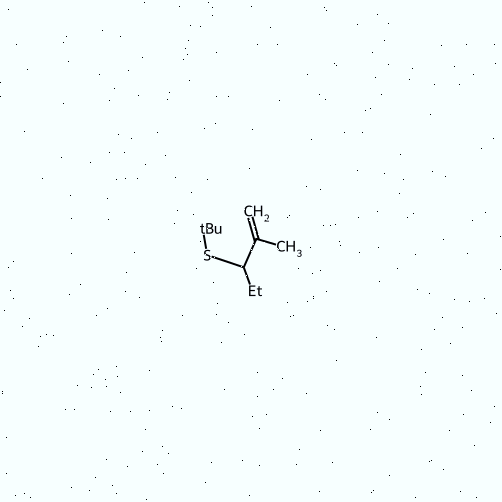 C=C(C)C(CC)SC(C)(C)C